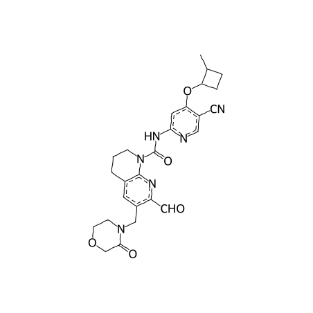 CC1CCC1Oc1cc(NC(=O)N2CCCc3cc(CN4CCOCC4=O)c(C=O)nc32)ncc1C#N